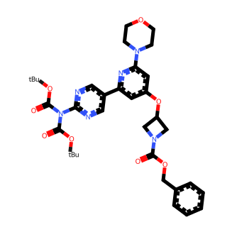 CC(C)(C)OC(=O)N(C(=O)OC(C)(C)C)c1ncc(-c2cc(OC3CN(C(=O)OCc4ccccc4)C3)cc(N3CCOCC3)n2)cn1